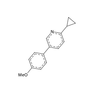 COc1ccc(-c2ccc(C3CC3)nc2)cc1